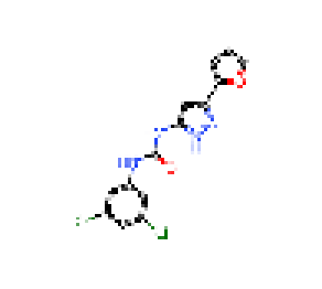 O=C(Nc1cc(Cl)cc(Cl)c1)Nc1cc(-c2ccco2)n[nH]1